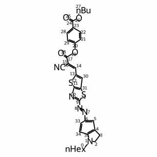 CCCCCCN1CCc2cc(/N=N/c3nc4sc(/C=C(\C#N)C(=O)Oc5ccc(C(=O)OCCCC)cc5)cc4s3)ccc21